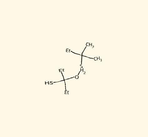 CCC(S)(CC)O[SH2]C(C)(C)CC